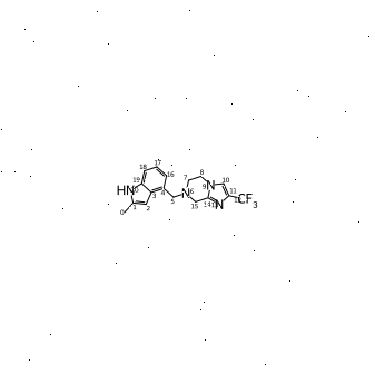 Cc1cc2c(CN3CCn4cc(C(F)(F)F)nc4C3)cccc2[nH]1